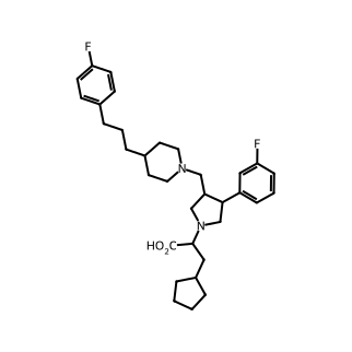 O=C(O)C(CC1CCCC1)N1CC(CN2CCC(CCCc3ccc(F)cc3)CC2)C(c2cccc(F)c2)C1